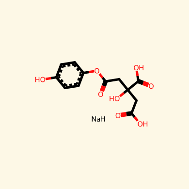 O=C(O)CC(O)(CC(=O)Oc1ccc(O)cc1)C(=O)O.[NaH]